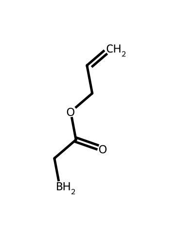 BCC(=O)OCC=C